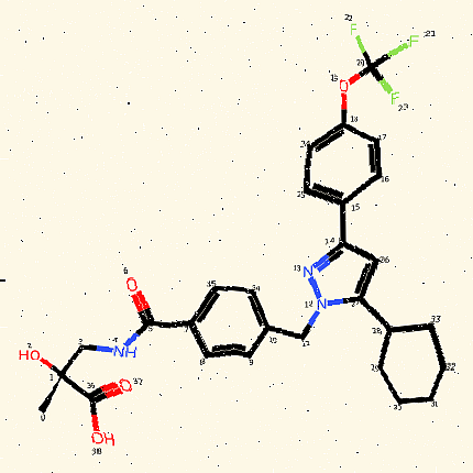 C[C@@](O)(CNC(=O)c1ccc(Cn2nc(-c3ccc(OC(F)(F)F)cc3)cc2C2CCCCC2)cc1)C(=O)O